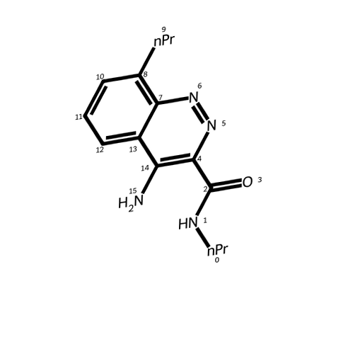 CCCNC(=O)c1nnc2c(CCC)cccc2c1N